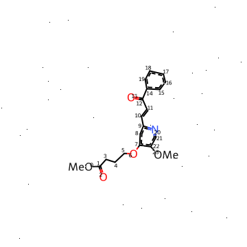 COC(=O)CCCOc1cc(C=CC(=O)c2ccccc2)ncc1OC